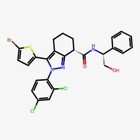 O=C(N[C@@H](CO)c1ccccc1)[C@H]1CCCc2c1nn(-c1ccc(Cl)cc1Cl)c2-c1ccc(Br)s1